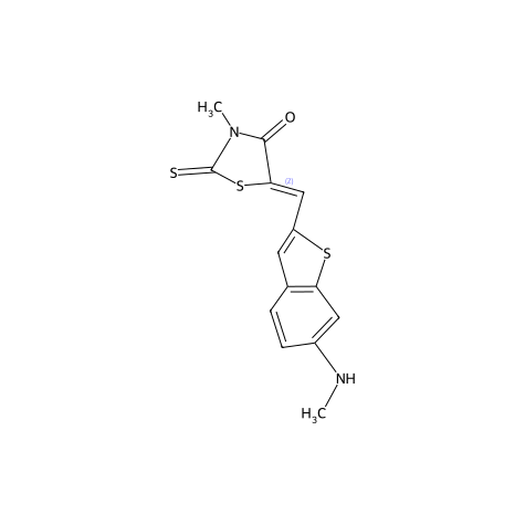 CNc1ccc2cc(/C=C3\SC(=S)N(C)C3=O)sc2c1